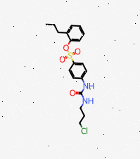 CCCc1ccccc1OS(=O)(=O)c1ccc(NC(=O)NCCCCl)cc1